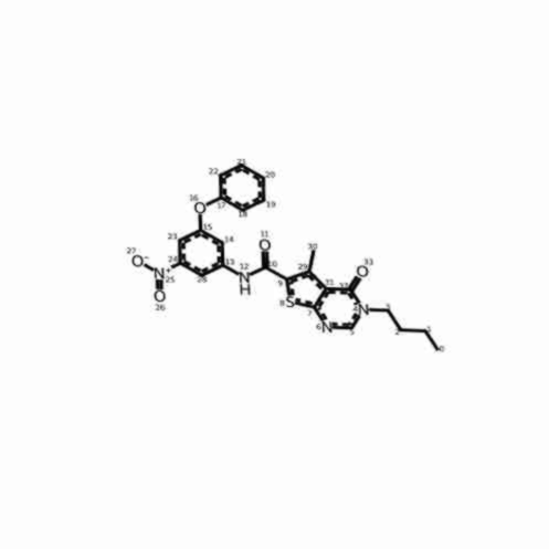 CCCCn1cnc2sc(C(=O)Nc3cc(Oc4ccccc4)cc([N+](=O)[O-])c3)c(C)c2c1=O